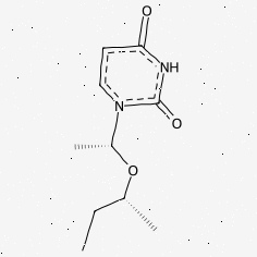 CC[C@@H](C)O[C@H](C)n1ccc(=O)[nH]c1=O